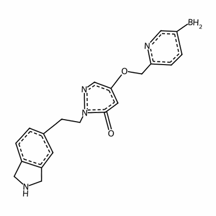 Bc1ccc(COc2cnn(CCc3ccc4c(c3)CNC4)c(=O)c2)nc1